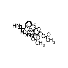 CO[C@H]1C(SC2=CC=CN(C3OCC34CNC4)C2)O[C@H](COC(C)=O)[C@H](OC(C)=O)[C@@H]1N=[N+]=[N-]